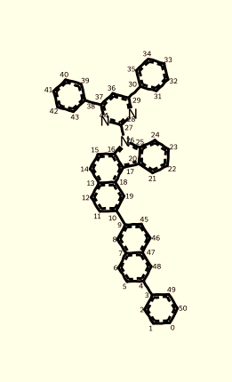 c1ccc(-c2ccc3cc(-c4ccc5ccc6c(c5c4)c4ccccc4n6-c4nc(-c5ccccc5)cc(-c5ccccc5)n4)ccc3c2)cc1